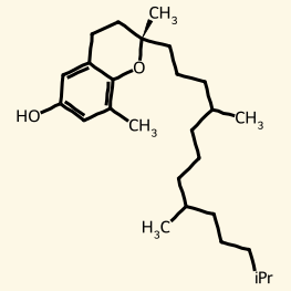 Cc1cc(O)cc2c1O[C@@](C)(CCCC(C)CCCC(C)CCCC(C)C)CC2